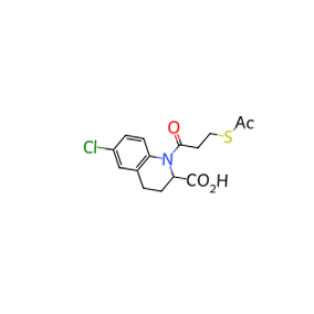 CC(=O)SCCC(=O)N1c2ccc(Cl)cc2CCC1C(=O)O